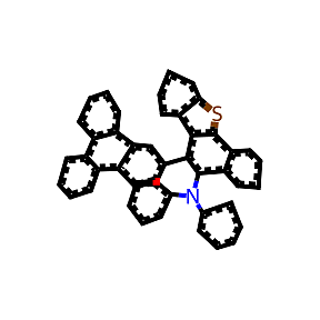 c1ccc(N(c2ccccc2)c2c(-c3ccc4c5ccccc5c5ccccc5c4c3)c3c4ccccc4sc3c3ccccc23)cc1